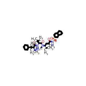 CN[C@H](C(=O)N[C@H](C(=O)N(C)[C@H](/C=C(\C)C(=O)NS(=O)(=O)c1ccc2ccccc2c1)C(C)C)C(C)(C)C)C(C)(C)c1ccccc1